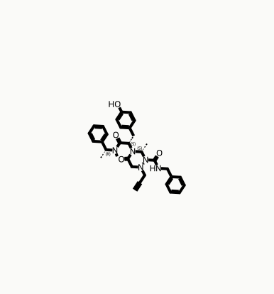 C#CCN1CC(=O)N([C@@H](Cc2ccc(O)cc2)C(=O)N(C)[C@H](C)c2ccccc2)[C@H](C)N1C(=O)NCc1ccccc1